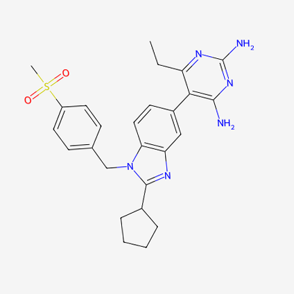 CCc1nc(N)nc(N)c1-c1ccc2c(c1)nc(C1CCCC1)n2Cc1ccc(S(C)(=O)=O)cc1